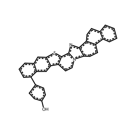 Oc1ccc(-c2cccc3cc4sc5c(ccn6c7ccc8c9ccccc9ccc8c7nc56)c4cc23)cc1